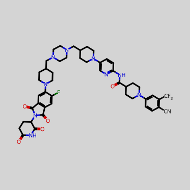 N#Cc1ccc(N2CCC(C(=O)Nc3ccc(N4CCC(CN5CCN(CC6CCN(c7cc8c(cc7F)C(=O)N(C7CCC(=O)NC7=O)C8=O)CC6)CC5)CC4)cn3)CC2)cc1C(F)(F)F